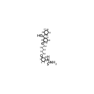 NC(=S)Nc1cccc(OCCCCCOc2cccc(C(O)c3ccccc3)c2)c1